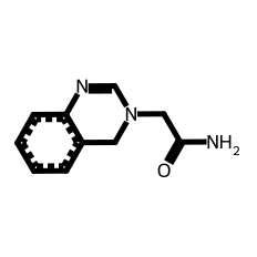 NC(=O)CN1C=Nc2ccccc2C1